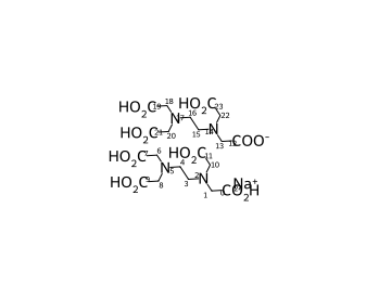 O=C(O)CN(CCN(CC(=O)O)CC(=O)O)CC(=O)O.O=C([O-])CN(CCN(CC(=O)O)CC(=O)O)CC(=O)O.[Na+]